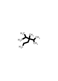 CCCC(C)(C(C)C)C(C)C